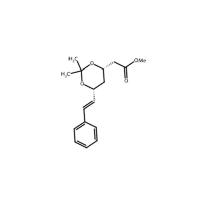 COC(=O)C[C@@H]1C[C@H](C=Cc2ccccc2)OC(C)(C)O1